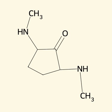 CNC1CCC(NC)C1=O